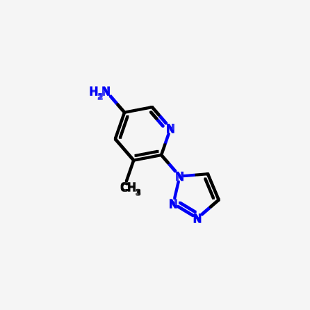 Cc1cc(N)cnc1-n1ccnn1